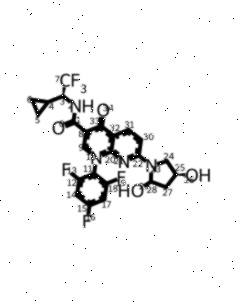 O=C(N[C@@H](C1CC1)C(F)(F)F)c1cn(-c2c(F)cc(F)cc2F)c2nc(N3C[C@@H](O)CC3O)ccc2c1=O